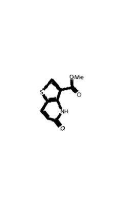 COC(=O)c1csc2ccc(=O)[nH]c12